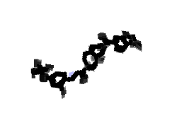 O=C(/C=C/c1ccc(OC(F)(F)F)cc1F)N1CCC2CN(C(=O)c3ccc4[nH]nnc4c3)C[C@H]2CC1